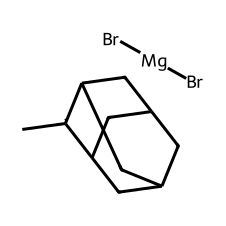 C[C]1C2CC3CC(C2)CC1C3.[Br][Mg][Br]